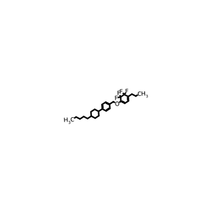 CCCCCC1CCC(c2ccc(COC3=CC=C(CCC)C(F)(F)C3(F)F)cc2)CC1